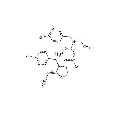 CCN(Cc1ccc(Cl)nc1)/C(=C/[N+](=O)[O-])NC.N#C/N=C1\SCCN1Cc1ccc(Cl)nc1